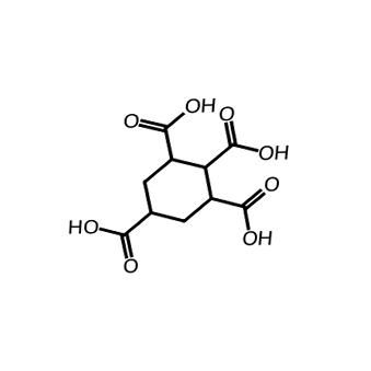 O=C(O)C1CC(C(=O)O)C(C(=O)O)C(C(=O)O)C1